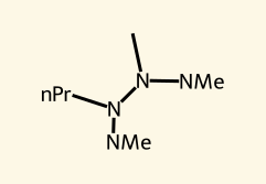 CCCN(NC)N(C)NC